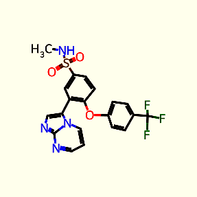 CNS(=O)(=O)c1ccc(Oc2ccc(C(F)(F)F)cc2)c(-c2cnc3ncccn23)c1